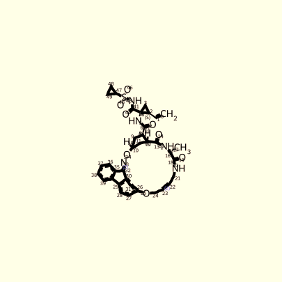 C=C[C@@H]1C[C@]1(NC(=O)[C@@H]1C[C@@H]2C[C@H]1C(=O)N[C@H](C)C(=O)NC/C=C\COc1ccc3c(c1)/C(=N\O2)c1ccccc1-3)C(=O)NS(=O)(=O)C1CC1